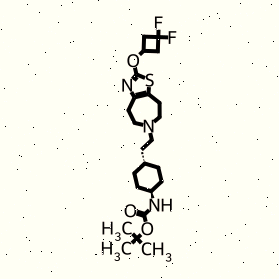 CC(C)(C)OC(=O)N[C@H]1CC[C@H](CCN2CCc3nc(OC4CC(F)(F)C4)sc3CC2)CC1